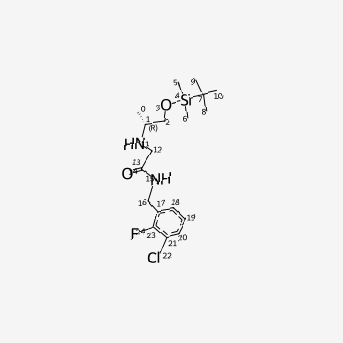 C[C@H](CO[Si](C)(C)C(C)(C)C)NCC(=O)NCc1cccc(Cl)c1F